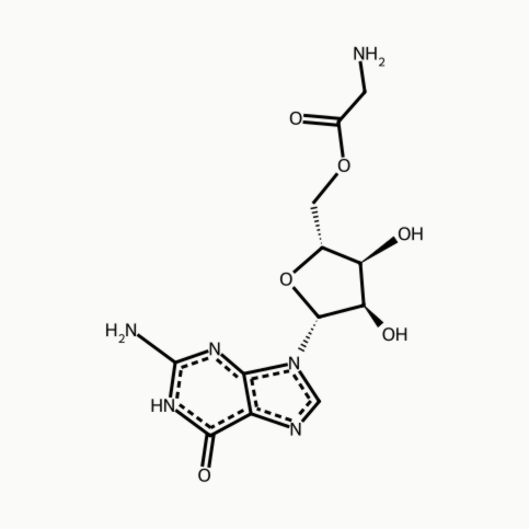 NCC(=O)OC[C@H]1O[C@@H](n2cnc3c(=O)[nH]c(N)nc32)[C@H](O)[C@@H]1O